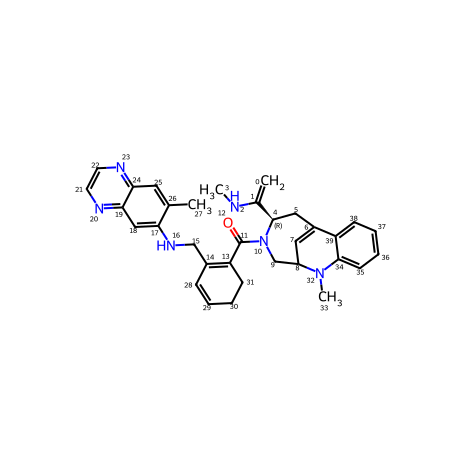 C=C(NC)[C@H]1CC2=CC(CN1C(=O)C1=C(CNc3cc4nccnc4cc3C)C=CCC1)N(C)c1ccccc12